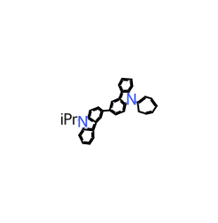 CC(C)n1c2ccccc2c2cc(-c3ccc4c(c3)c3ccccc3n4C3=CC=CC=CC3)ccc21